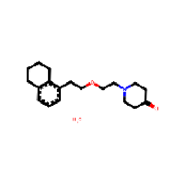 O.O=C1CCN(CCOCCc2cccc3c2CCCC3)CC1